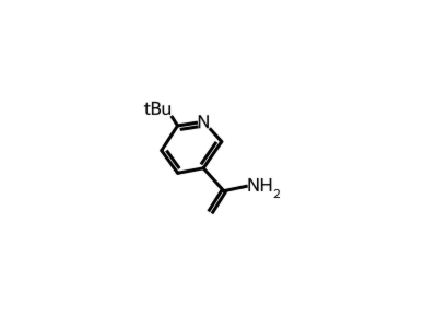 C=C(N)c1ccc(C(C)(C)C)nc1